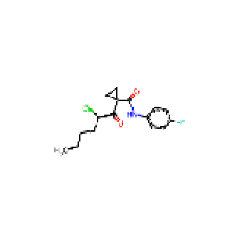 CCCCC(Cl)C(=O)C1(C(=O)Nc2ccc(F)cc2)CC1